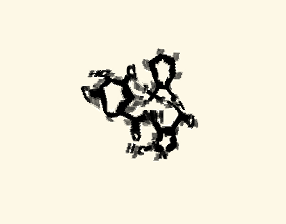 Cn1ncc(C(=O)NCc2ccccc2C(F)(F)F)c1NC(=O)c1cc(Cl)c(O)c(Cl)c1